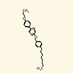 CCCCCCCCc1ccc(COc2cnc(-c3ccc(OCCC)cc3)cn2)cc1